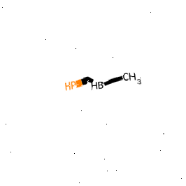 CBC=P